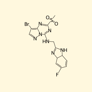 CS(=O)(=O)c1nc(NCC2=NC3C=C(F)C=CC3N2)n2ncc(Br)c2n1